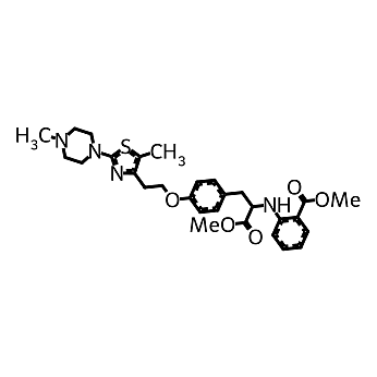 COC(=O)c1ccccc1NC(Cc1ccc(OCCc2nc(N3CCN(C)CC3)sc2C)cc1)C(=O)OC